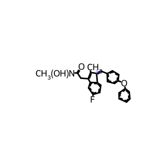 CC1=C(CC(=O)N(C)O)c2cc(F)ccc2/C1=C\c1ccc(Oc2ccccc2)cc1